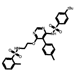 Cc1ccc(-c2c(NS(=O)(=O)c3ccc(C(C)(C)C)cc3)ncnc2OCCNS(=O)(=O)c2ccccc2C)cc1